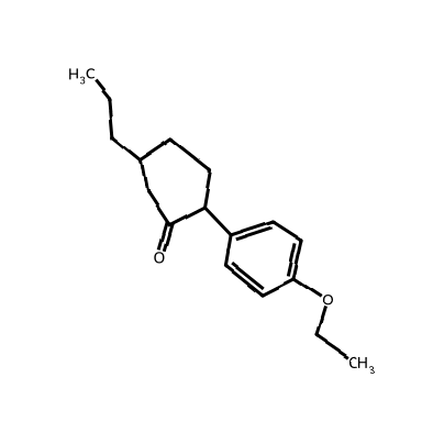 CCCC1CCC(c2ccc(OCC)cc2)C(=O)C1